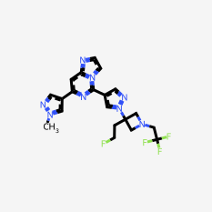 Cn1cc(-c2cc3nccn3c(-c3cnn(C4(CCF)CN(CC(F)(F)F)C4)c3)n2)cn1